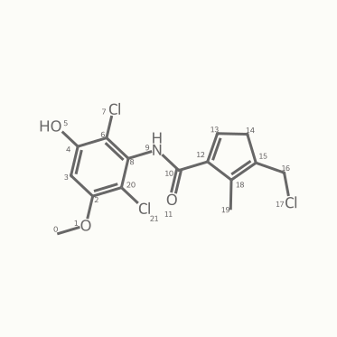 COc1cc(O)c(Cl)c(NC(=O)C2=CCC(CCl)=C2C)c1Cl